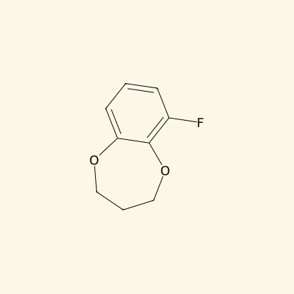 Fc1cccc2c1OCCCO2